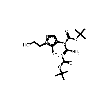 CC(C)(C)OC(=O)N=C(N)N(C(=O)OC(C)(C)C)c1cnn(CCO)c1N